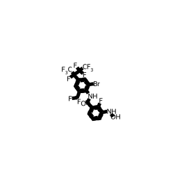 O=C(Nc1c(Br)cc(C(F)(C(F)(F)F)C(F)(F)C(F)(F)F)cc1C(F)F)c1cccc(NO)c1F